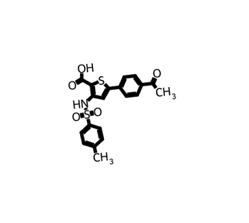 CC(=O)c1ccc(-c2cc(NS(=O)(=O)c3ccc(C)cc3)c(C(=O)O)s2)cc1